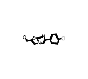 O=Cc1cn2cc(-c3ccc(Cl)cc3)nc2s1